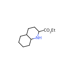 CCOC(=O)C1CCC2CCCCC2N1